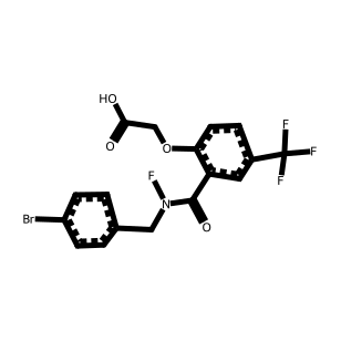 O=C(O)COc1ccc(C(F)(F)F)cc1C(=O)N(F)Cc1ccc(Br)cc1